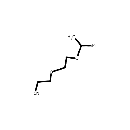 CC(C)C(C)OCCOCCC#N